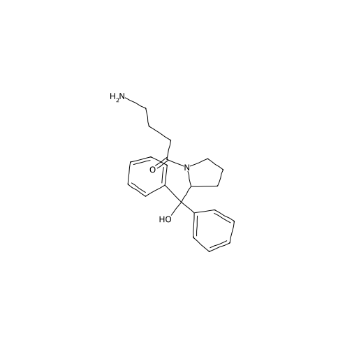 NCCCC(=O)N1CCCC1C(O)(c1ccccc1)c1ccccc1